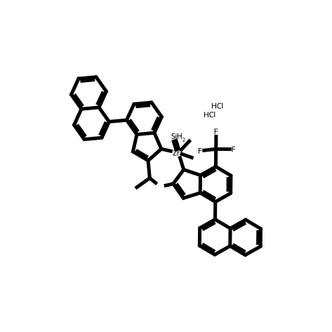 CC1=Cc2c(-c3cccc4ccccc34)ccc(C(F)(F)F)c2[CH]1[Zr]([CH3])([CH3])(=[SiH2])[CH]1C(C(C)C)=Cc2c(-c3cccc4ccccc34)cccc21.Cl.Cl